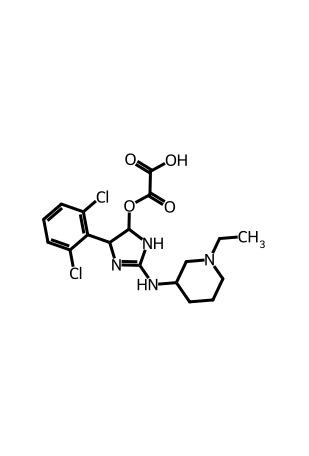 CCN1CCCC(NC2=NC(c3c(Cl)cccc3Cl)C(OC(=O)C(=O)O)N2)C1